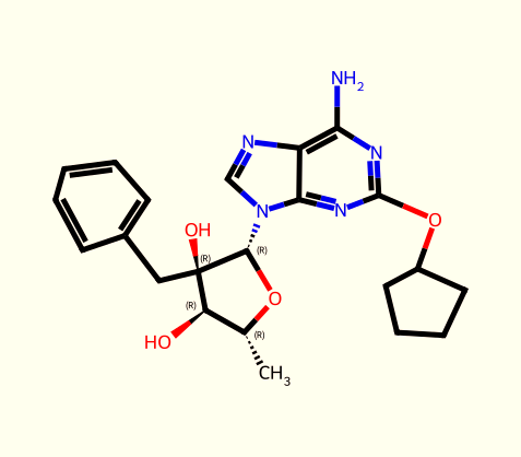 C[C@H]1O[C@@H](n2cnc3c(N)nc(OC4CCCC4)nc32)[C@@](O)(Cc2ccccc2)[C@@H]1O